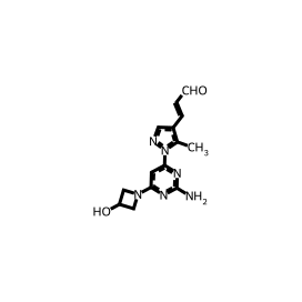 Cc1c(/C=C/C=O)cnn1-c1cc(N2CC(O)C2)nc(N)n1